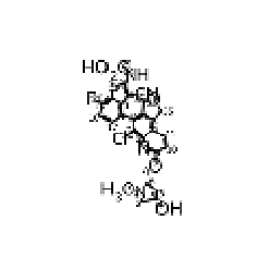 CN1C[C@H](O)C[C@H]1COc1ccc2c3c(c(-c4ccc(F)c5sc(NC(=O)O)c(C#N)c45)c(Cl)c2n1)COC3